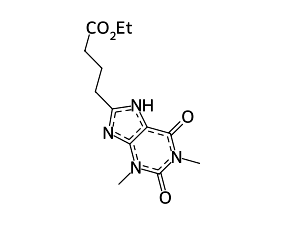 CCOC(=O)CCCc1nc2c([nH]1)c(=O)n(C)c(=O)n2C